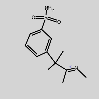 C/N=C(\C)C(C)(C)c1cccc(S(N)(=O)=O)c1